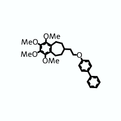 COc1c2c(c(OC)c(OC)c1OC)CCC(CCOc1ccc(-c3ccccc3)cc1)CC2